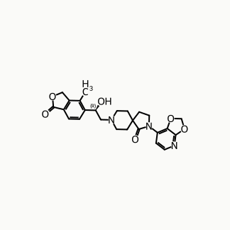 Cc1c([C@@H](O)CN2CCC3(CC2)CCN(c2ccnc4c2OCO4)C3=O)ccc2c1COC2=O